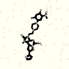 Cn1c(=O)n(CCN2CCN(c3cc([S+](C)[O-])c(F)cc3F)CC2)c2nc(N)n3nc(-c4ccco4)cc3c21